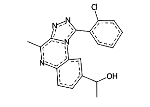 Cc1nc2ccc(C(C)O)cc2n2c(-c3ccccc3Cl)nnc12